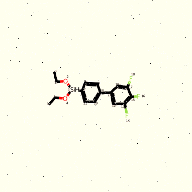 CCO[SiH](OCC)c1ccc(-c2cc(F)c(F)c(F)c2)cc1